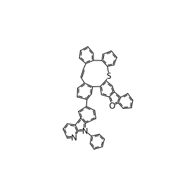 C1=C\c2ccc(-c3ccc4c(c3)c3cccnc3n4-c3ccccc3)cc2-c2cc3oc4ccccc4c3cc2Sc2ccccc2-c2ccccc2/1